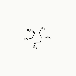 C=CCC(C)C(C)C(=C)CS